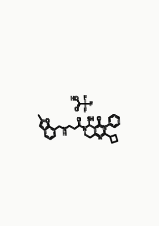 Cc1cc2cccc(CNCCC(=O)N3CCc4nc(C5CCC5)n(-c5ccccc5)c(=O)c4C3S)c2o1.O=C(O)C(F)(F)F